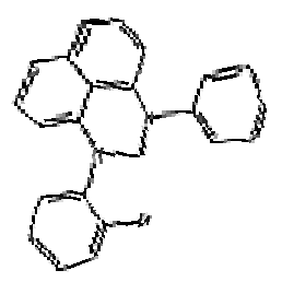 Brc1ccccc1N1CN(c2ccccc2)c2cccc3cccc1c23